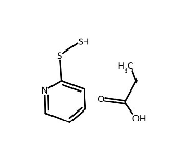 CCC(=O)O.SSc1ccccn1